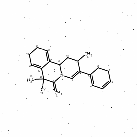 C=C1N2C=C(C3=CC=CCC3)C(C)CC2C2=CCCC=C2C1(C)C